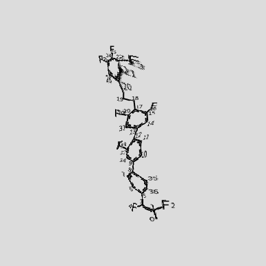 C/C(F)=C(\F)c1ccc(-c2ccc(-c3cc(F)c(CCc4cc(F)c(F)c(F)c4)c(F)c3)c(F)c2)cc1